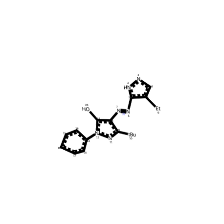 CCc1cn[nH]c1/N=N/c1c(C(C)(C)C)nn(-c2ccccc2)c1O